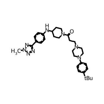 Cn1nnc(-c2ccc(NC3CCN(C(=O)CCN4CCN(c5ccc(C(C)(C)C)cc5)CC4)CC3)cc2)n1